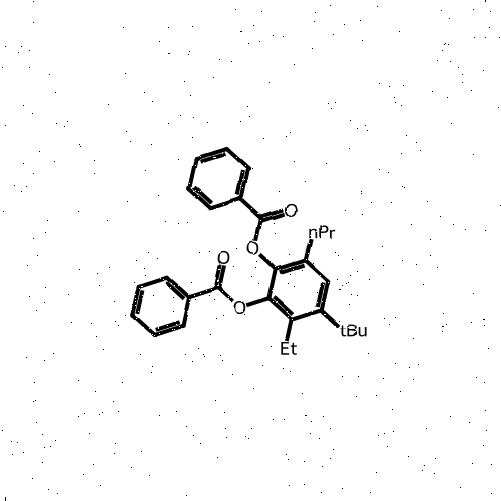 CCCc1cc(C(C)(C)C)c(CC)c(OC(=O)c2ccccc2)c1OC(=O)c1ccccc1